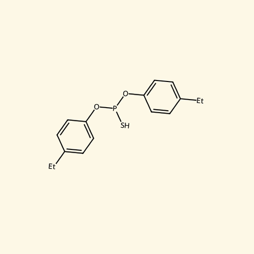 CCc1ccc(OP(S)Oc2ccc(CC)cc2)cc1